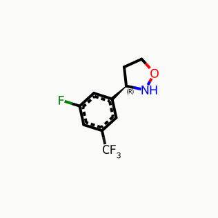 Fc1cc([C@H]2CCON2)cc(C(F)(F)F)c1